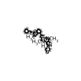 Cc1nnc(N[C@H](C)c2cc(-c3ccccc3CN(C)C(=O)OCc3ccccc3)c[se]2)c2cc(N3CCOCC3)ncc12